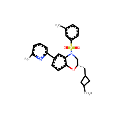 O=C(O)C1CC(C[C@H]2CN(S(=O)(=O)c3cccc(C(F)(F)F)c3)c3cc(-c4cccc(C(F)(F)F)n4)ccc3O2)C1